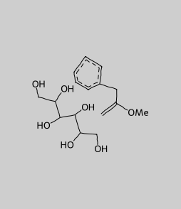 C=C(Cc1ccccc1)OC.OCC(O)C(O)C(O)C(O)CO